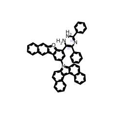 N/C(=N\C(=C(/N)c1cc(-n2c3ccc4ccccc4c3c3c4ccccc4ccc32)cc2c1oc1cc3ccccc3cc12)c1ccccc1)c1ccccc1